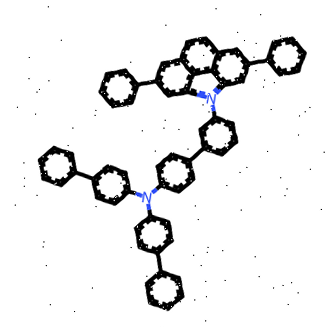 c1ccc(-c2ccc(N(c3ccc(-c4ccccc4)cc3)c3ccc(-c4cccc(-n5c6cc(-c7ccccc7)cc7ccc8cc(-c9ccccc9)cc5c8c76)c4)cc3)cc2)cc1